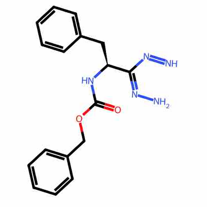 N=N/C(=N\N)[C@H](Cc1ccccc1)NC(=O)OCc1ccccc1